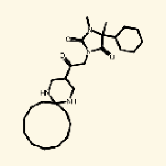 CN1C(=O)N(CC(=O)C2CNC3(CCCCCCCCCC3)NC2)C(=O)C1(C)C1CCCCC1